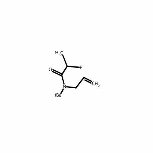 C=CCN(C(=O)C(C)F)C(C)(C)C